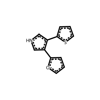 [c]1[nH]cc(-c2ccco2)c1-c1cccs1